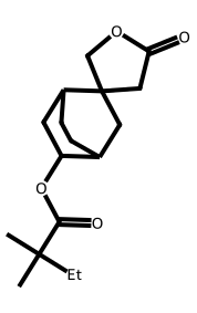 CCC(C)(C)C(=O)OC1CC2CCC1CC21COC(=O)C1